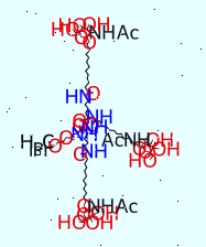 CC(=O)NC1C(OCCCCCCCCCCCC(=O)NCCCCC(NC(=O)CCCCCCCCCCCOC2OC(CO)C(O)C(O)C2NC(C)=O)C(=O)NC(CCCCNC(=O)CCCCCCCCCCCOC2OC(CO)C(O)C(O)C2NC(C)=O)C(=O)NCCOCCOC(C)C(C)C)OC(CO)C(O)C1O